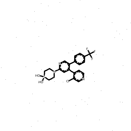 OS1(O)CCN(c2cc(-c3ccncc3Cl)c(-c3ccc(C(F)(F)F)cc3)cn2)CC1